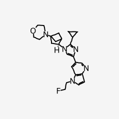 FCCn1ccc2ncc(-c3cn([C@H]4CC5(N6CCOCC6)CC4C5)c(C4CC4)n3)cc21